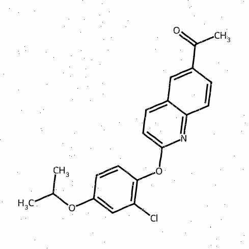 CC(=O)c1ccc2nc(Oc3ccc(OC(C)C)cc3Cl)ccc2c1